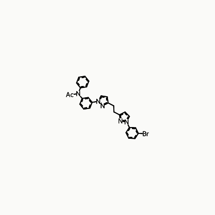 CC(=O)N(c1ccccc1)c1cccc(-n2ccc(CCc3ccn(-c4cccc(Br)c4)n3)n2)c1